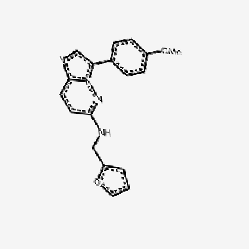 COc1ccc(-c2cnc3ccc(NCc4ccco4)nn23)cc1